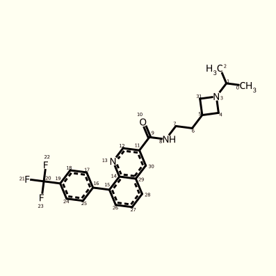 CC(C)N1CC(CCNC(=O)c2cnc3c(-c4ccc(C(F)(F)F)cc4)cccc3c2)C1